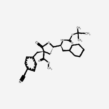 COC(=O)[C@@]1(Cc2ccc(C#N)cc2)C[C@@H]([C@H](CC2CCCCC2)NC(=O)OC(C)(C)C)OC1=O